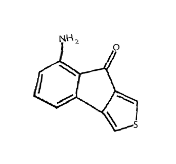 Nc1cccc2c1C(=O)c1cscc1-2